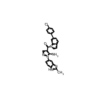 Cc1nc2cc(-n3ncc(C(=O)n4ccc5ccc(-c6ccc(Cl)cc6)cc54)c3N)ccc2[nH]1